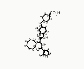 Cc1nocc1C(=O)NC(c1nc2c(F)c(CC3CCN(C(=O)O)CC3)ccc2[nH]1)C1CCCCCCC1